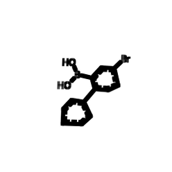 OB(O)c1cc(Br)ccc1-c1ccccc1